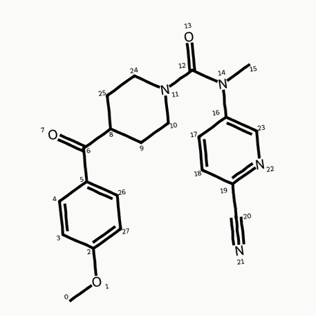 COc1ccc(C(=O)C2CCN(C(=O)N(C)c3ccc(C#N)nc3)CC2)cc1